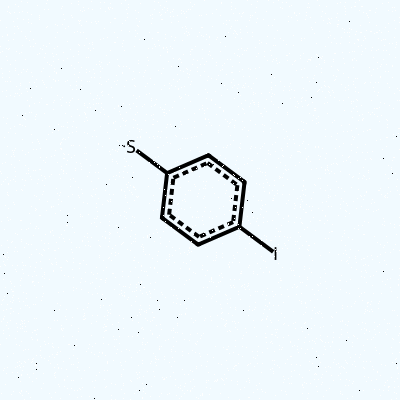 [S]c1ccc(I)cc1